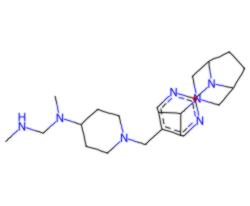 CNCN(C)C1CCN(Cc2cnc(N3C4CCC3CN(C(C)C)C4)nc2)CC1